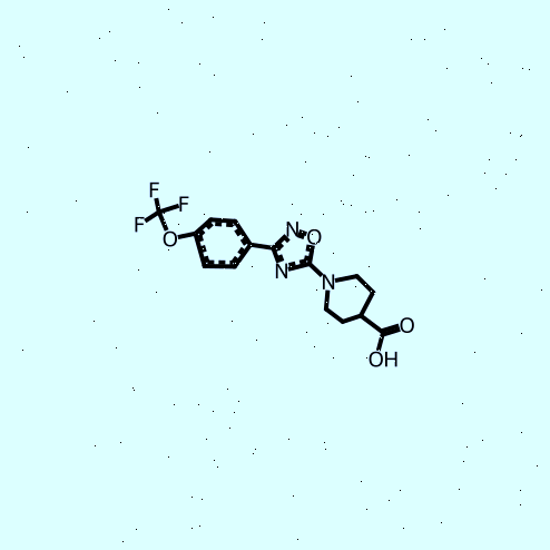 O=C(O)C1CCN(c2nc(-c3ccc(OC(F)(F)F)cc3)no2)CC1